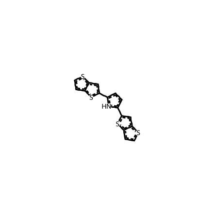 c1cc2sc(-c3ccc(-c4cc5sccc5s4)[nH]3)cc2s1